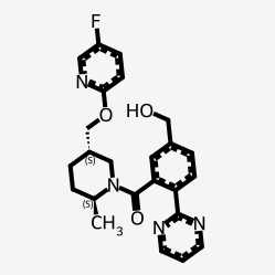 C[C@H]1CC[C@H](COc2ccc(F)cn2)CN1C(=O)c1cc(CO)ccc1-c1ncccn1